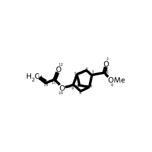 [CH2]OC(=O)C1CC2CC1CC2OC(=O)C=C